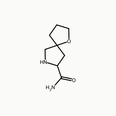 NC(=O)C1CC2(CCCO2)CN1